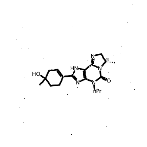 CCCN1C(=O)N2C(=NC[C@@H]2C)c2[nH]c(C3=CCC(C)(O)CC3)nc21